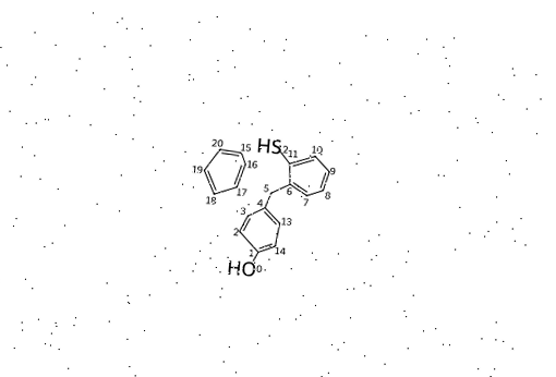 Oc1ccc(Cc2ccccc2S)cc1.c1ccccc1